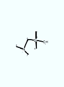 CN(C)C[Si](C)(C)O